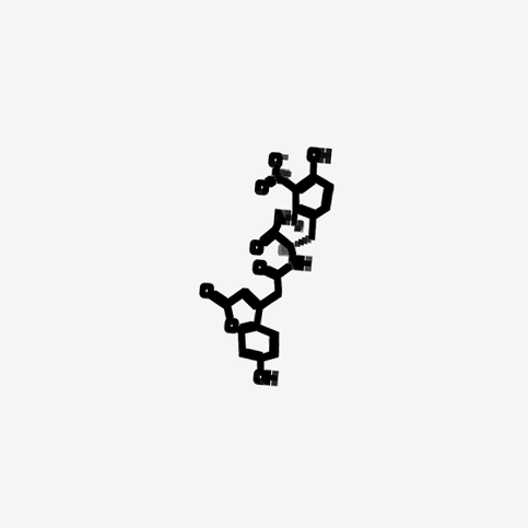 NC(=O)[C@H](Cc1ccc(O)c([N+](=O)[O-])c1)NC(=O)Cc1cc(=O)oc2cc(O)ccc12